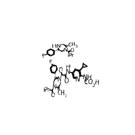 CC(C)C(=O)N1C[C@H](c2ccc(F)cc2)N(C(=O)C(=O)Nc2cnc(NC(=O)O)c(C3CC3)c2)C[C@H]1C.CC(C)C(=O)N1C[C@H](c2ccc(F)cc2)NC[C@H]1C